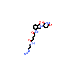 [N-]=[N+]=NCCCNC(=O)CCCC(=O)Nc1cccc2c1CN(C1CCC(=O)NC1=O)C2=O